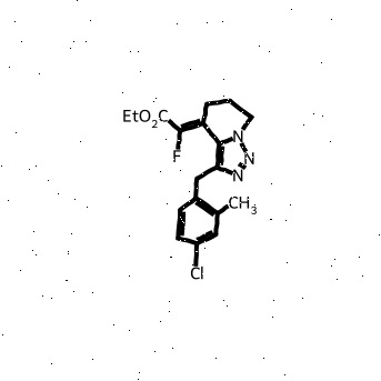 CCOC(=O)C(F)=C1CCCn2nnc(Cc3ccc(Cl)cc3C)c21